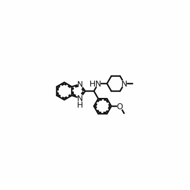 COc1cccc(C(NC2CCN(C)CC2)c2nc3ccccc3[nH]2)c1